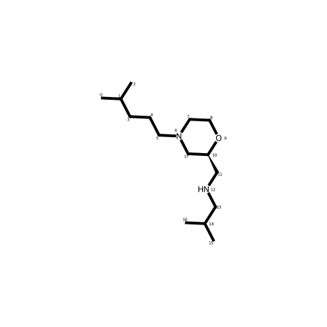 CC(C)CCCN1CCO[C@@H](CNCC(C)C)C1